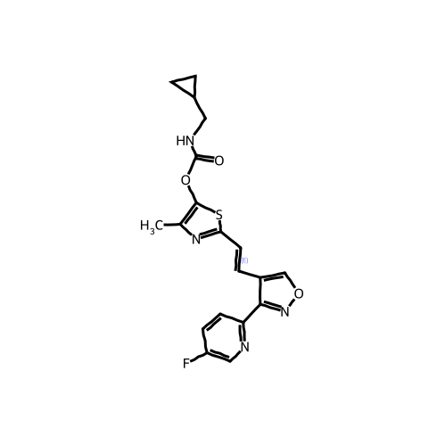 Cc1nc(/C=C/c2conc2-c2ccc(F)cn2)sc1OC(=O)NCC1CC1